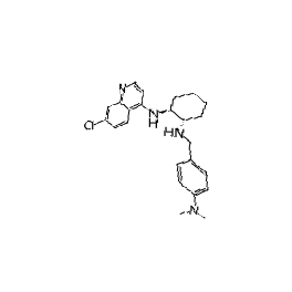 CN(C)c1ccc(CN[C@H]2CCCC[C@@H]2Nc2ccnc3cc(Cl)ccc23)cc1